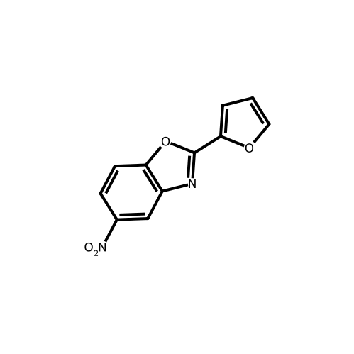 O=[N+]([O-])c1ccc2oc(-c3ccco3)nc2c1